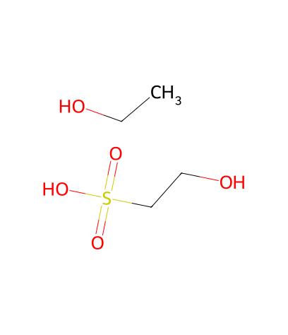 CCO.O=S(=O)(O)CCO